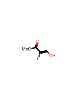 COC(=O)/C(Cl)=C/O